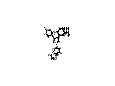 CCNc1cc(-c2cn(-c3ccc4nncn4n3)nc2-c2ccc(F)cc2)ccn1